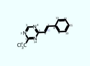 ClC(Cl)(Cl)c1ncnc(/C=C/c2ccccc2)n1